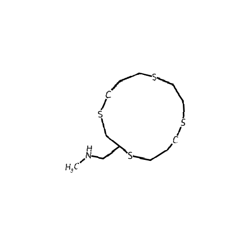 CNCC1CSCCCSCCSCCCS1